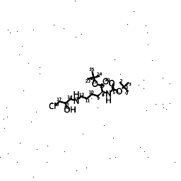 CC(C)(C)OC(=O)N[C@@H](CCCCNC[C@@H](O)CCl)C(=O)OC(C)(C)C